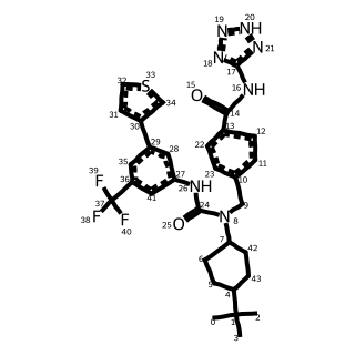 CC(C)(C)C1CCC(N(Cc2ccc(C(=O)Nc3nn[nH]n3)cc2)C(=O)Nc2cc(-c3ccsc3)cc(C(F)(F)F)c2)CC1